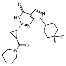 O=C([C@H]1C[C@@H]1c1nc2c(cnn2C2CCC(F)(F)CC2)c(=O)[nH]1)N1CCCCC1